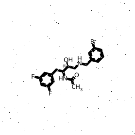 CC(=O)NC(Cc1cc(F)cc(F)c1)[C@@H](O)CNCc1cccc(Br)c1